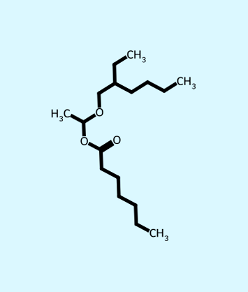 CCCCCCC(=O)OC(C)OCC(CC)CCCC